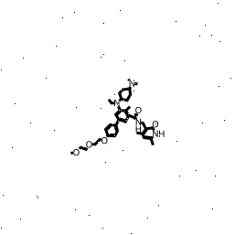 CCN(c1cc(-c2ccc(OCCOCCOC)cc2)cc(C(=O)NCc2c(C)cc(C)[nH]c2=O)c1C)C1CCC(N(C)C)CC1